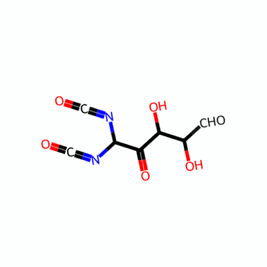 O=C=NC(N=C=O)C(=O)C(O)C(O)C=O